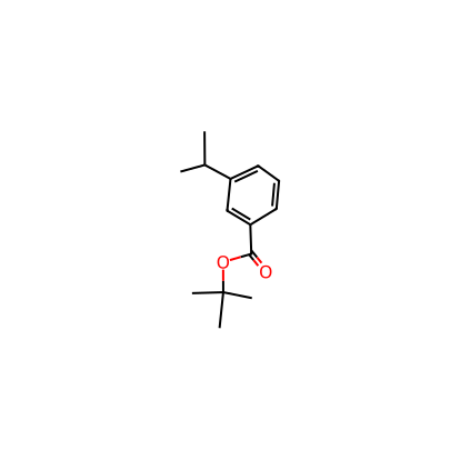 CC(C)c1cccc(C(=O)OC(C)(C)C)c1